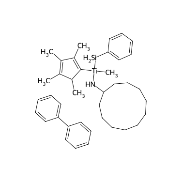 CC1=C(C)C(C)[C]([Ti]([CH3])([NH]C2CCCCCCCCCC2)[SiH2]c2ccccc2)=C1C.c1ccc(-c2ccccc2)cc1